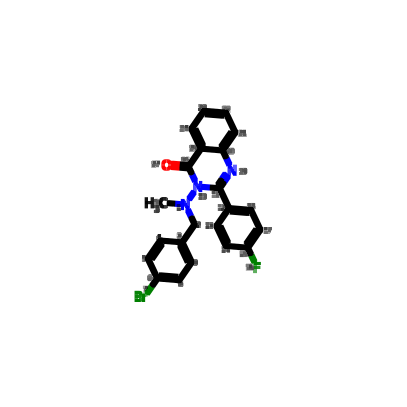 CN(Cc1ccc(Br)cc1)n1c(-c2ccc(F)cc2)nc2ccccc2c1=O